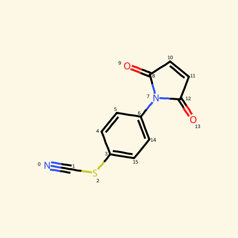 N#CSc1ccc(N2C(=O)C=CC2=O)cc1